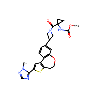 CC(C)n1ncnc1-c1cc2c(s1)CCOc1cc(C3CN(C(=O)C4(NC(=O)OC(C)(C)C)CC4)C3)ccc1-2